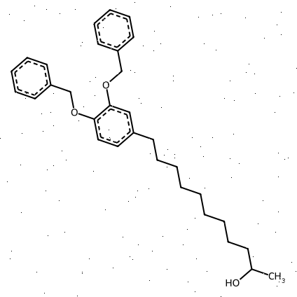 CC(O)CCCCCCCCCc1ccc(OCc2ccccc2)c(OCc2ccccc2)c1